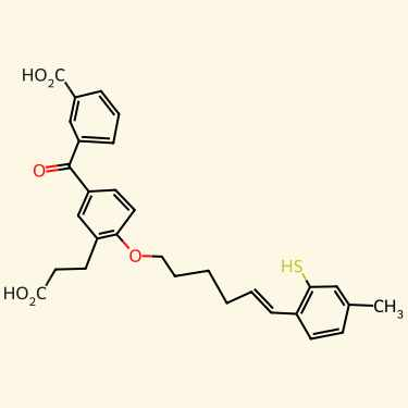 Cc1ccc(C=CCCCCOc2ccc(C(=O)c3cccc(C(=O)O)c3)cc2CCC(=O)O)c(S)c1